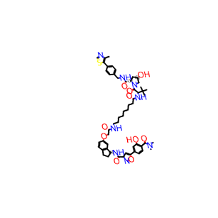 Cc1ncsc1-c1ccc(CNC(=O)[C@@H]2C[C@@H](O)CN2C(=O)C(NC(=O)CCCCCCCCNC(=O)COc2ccc3c(c2)[C@H](NC(=O)c2cc(-c4ccc(C(=O)N(C)C)c(O)c4)on2)CC3)C(C)(C)C)cc1